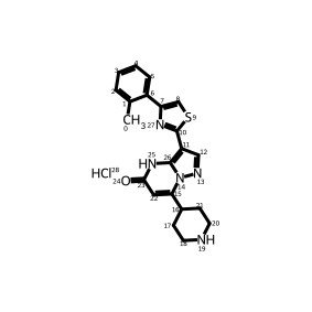 Cc1ccccc1-c1csc(-c2cnn3c(C4CCNCC4)cc(=O)[nH]c23)n1.Cl